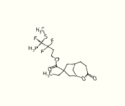 CCC1(C(=O)OCCC(F)(F)C(F)(P)SC)CC2CCC(=O)OC(C2)C1